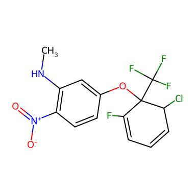 CNc1cc(OC2(C(F)(F)F)C(F)=CC=CC2Cl)ccc1[N+](=O)[O-]